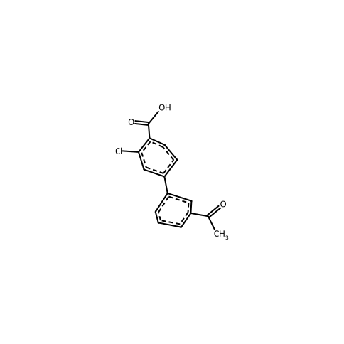 CC(=O)c1cccc(-c2ccc(C(=O)O)c(Cl)c2)c1